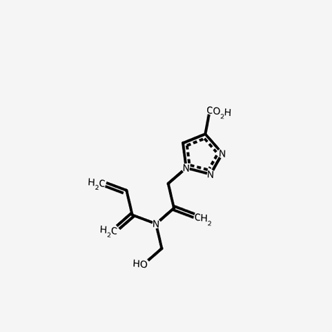 C=CC(=C)N(CO)C(=C)Cn1cc(C(=O)O)nn1